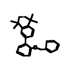 CC1(C)CCC(C)(C)c2cc(-c3ccccc3OCc3ccccc3)ccc21